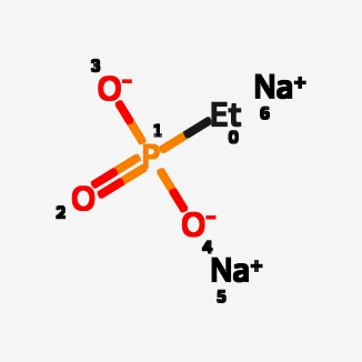 CCP(=O)([O-])[O-].[Na+].[Na+]